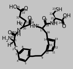 N[C@H]1Cc2ccc(cc2)Cc2cccc(c2)CC(C(=O)N[C@@H](CS)C(=O)O)NC(=O)[C@H](CCC(=O)O)NC1=O